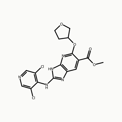 COC(=O)c1cc2nc(Nc3c(Cl)cncc3Cl)[nH]c2nc1OC1CCOC1